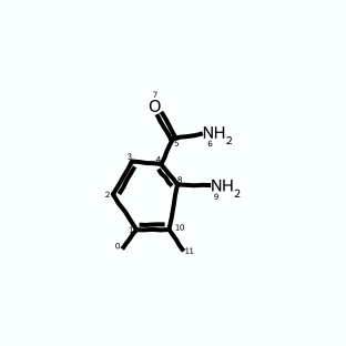 Cc1ccc(C(N)=O)c(N)c1C